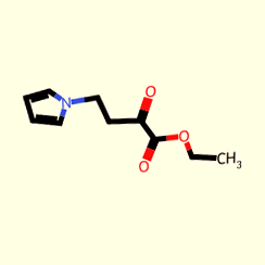 CCOC(=O)C(=O)CCn1cccc1